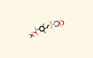 Cc1cc(N(C)C(=O)OC(C)(C)C)cc(C)c1C=CS(=O)(=O)N1CCC2(CC1)OCCO2